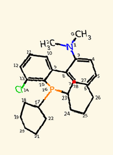 CN(C)c1ccccc1-c1cccc(Cl)c1P(C1CCCCC1)C1CCCCC1